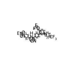 CCS(=O)(=O)c1ccc([C@H](CC#N)NC(=O)c2ccc(N3C[C@@H](N4CCC(C(F)(F)F)CC4)CC[C@H]3COC(F)F)cc2)cc1